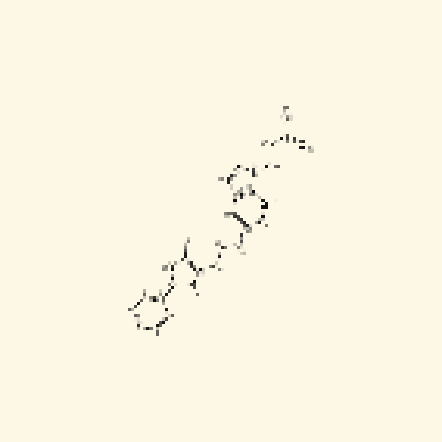 Cc1oc(-c2ccccc2)nc1CCOc1ccc2c(ccn2CCC(=O)O)c1